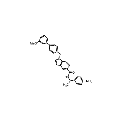 COc1cccc(-c2ccc(Cn3ccc4cc(C(=O)NC(C)c5ccc([N+](=O)[O-])cc5)ccc43)cc2)c1